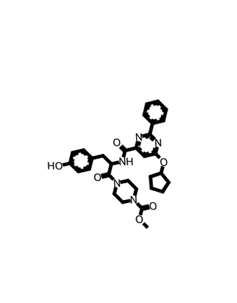 COC(=O)N1CCN(C(=O)C(Cc2ccc(O)cc2)NC(=O)c2cc(OC3CCCC3)nc(-c3ccccc3)n2)CC1